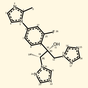 Cc1nccn1-c1ccc([C@@](O)(Cn2cncn2)[C@@H](C)n2cncn2)c(F)c1